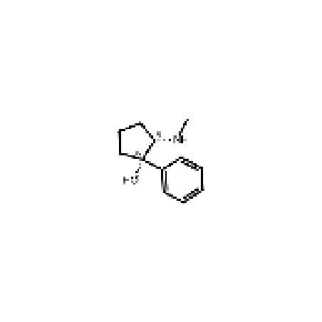 CN[C@H]1CCC[C@]1(O)c1ccccc1